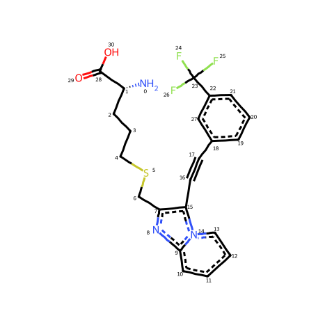 N[C@H](CCCSCc1nc2ccccn2c1C#Cc1cccc(C(F)(F)F)c1)C(=O)O